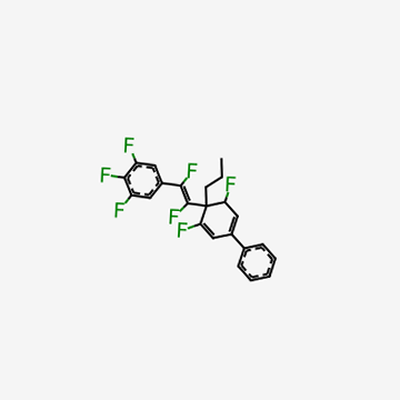 CCCC1(C(F)=C(F)c2cc(F)c(F)c(F)c2)C(F)=CC(c2ccccc2)=CC1F